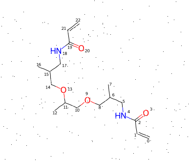 C=CC(=O)NCC(C)COCC(C)OCC(C)CNC(=O)C=C